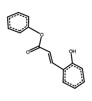 O=C(C=Cc1ccccc1O)Oc1ccccc1